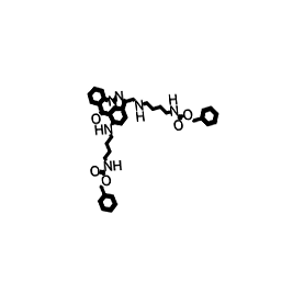 O=C(NCCCCNCc1nn2c3ccccc3c(=O)c3c(NCCCCNC(=O)OCc4ccccc4)ccc1c32)OCc1ccccc1